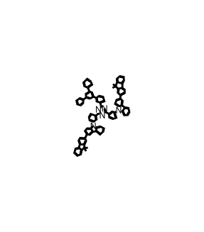 CC1(C)c2ccccc2-c2ccc(-c3ccc4c(c3)c3ccccc3n4-c3cccc(-c4nc(-c5cccc(-c6cc(-c7ccccc7)cc(-c7ccccc7)c6)c5)nc(-c5cccc(-n6c7ccccc7c7cc(-c8ccc9c(c8)C(C)(C)c8ccccc8-9)ccc76)c5)n4)c3)cc21